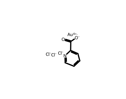 O=C([O-])c1ccccn1.[Au+4].[Cl-].[Cl-].[Cl-]